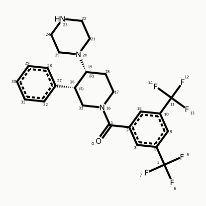 O=C(c1cc(C(F)(F)F)cc(C(F)(F)F)c1)N1CC[C@@H](N2CCNCC2)[C@@H](c2ccccc2)C1